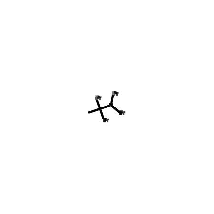 CC(C)N(C(C)C)C(C)(C(C)C)C(C)C